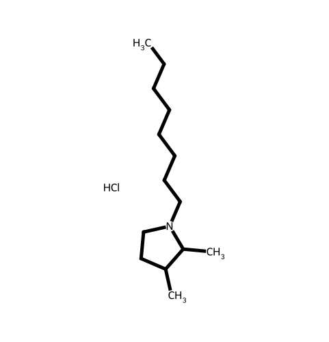 CCCCCCCCN1CCC(C)C1C.Cl